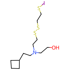 OCCN(CCSSCCSI)CCC1CCC1